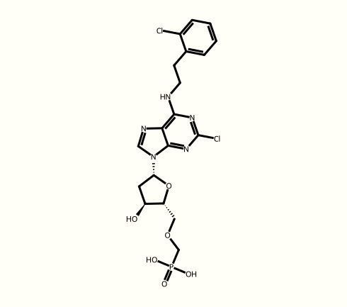 O=P(O)(O)COC[C@H]1O[C@@H](n2cnc3c(NCCc4ccccc4Cl)nc(Cl)nc32)C[C@@H]1O